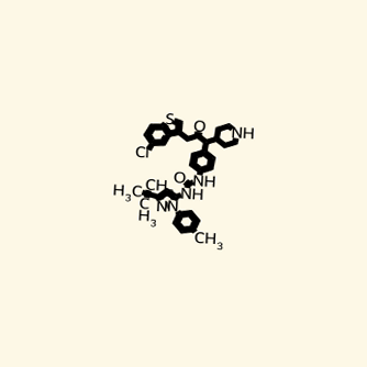 Cc1ccc(-n2nc(C(C)(C)C)cc2NC(=O)Nc2ccc(C(C(=O)Cc3csc4ccc(Cl)cc34)C3CCNCC3)cc2)cc1